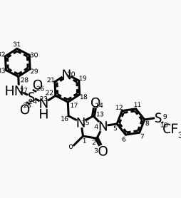 CC1C(=O)N(c2ccc(SC(F)(F)F)cc2)C(=O)N1Cc1ccncc1NS(=O)(=O)Nc1ccccc1